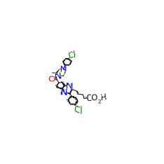 C[C@H]1CN(c2ccc(Cl)cc2)CCN1C(=O)c1ccc2nc(-c3ccc(Cl)cc3)c(CCCCC(=O)O)nc2c1